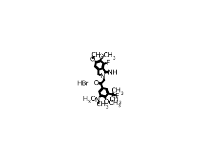 Br.COc1cc2c(c(F)c1OC)C(=N)N(CC(=O)c1cc(N(C)C)c(OC)c(C(C)(C)F)c1)C2